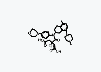 Cc1ccc(N2CCN(C)CC2)c2c1CCC(N(C(=O)C(O)(CC(=O)O)CC(=O)O)c1ccc(N3CCOCC3)cc1)C2